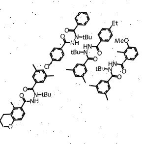 CC(C)(C)N(NC(=O)c1ccc(Cl)cc1)C(=O)c1ccccc1.CCc1ccc(C(=O)NN(C(=O)c2cc(C)cc(C)c2)C(C)(C)C)cc1.COc1cccc(C(=O)NN(C(=O)c2cc(C)cc(C)c2)C(C)(C)C)c1C.Cc1cc(C)cc(C(=O)N(NC(=O)c2ccc3c(c2C)CCCO3)C(C)(C)C)c1